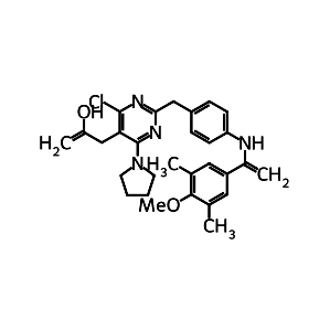 C=C(O)Cc1c(Cl)nc(Cc2ccc(NC(=C)c3cc(C)c(OC)c(C)c3)cc2)nc1N1CCCC1